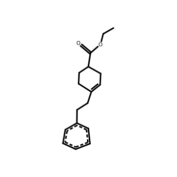 CCOC(=O)C1CC=C(CCc2ccccc2)CC1